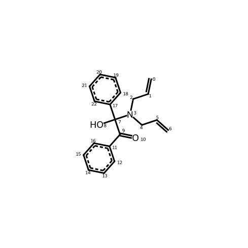 C=CCN(CC=C)C(O)(C(=O)c1ccccc1)c1ccccc1